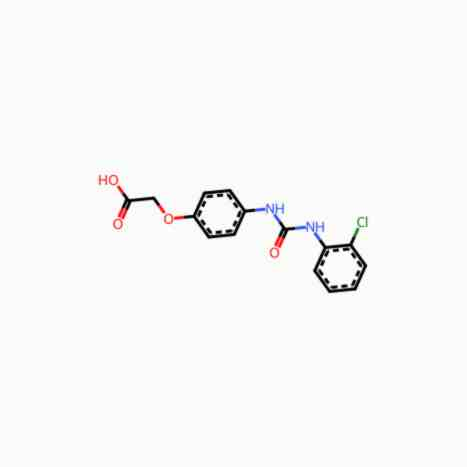 O=C(O)COc1ccc(NC(=O)Nc2ccccc2Cl)cc1